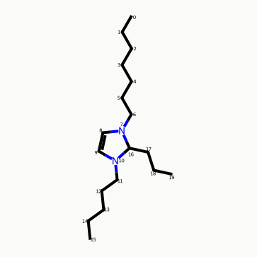 CCCCCCCN1C=CN(CCCCC)C1CCC